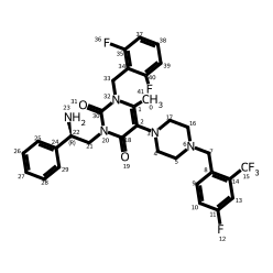 Cc1c(N2CCN(Cc3ccc(F)cc3C(F)(F)F)CC2)c(=O)n(C[C@H](N)c2ccccc2)c(=O)n1Cc1c(F)cccc1F